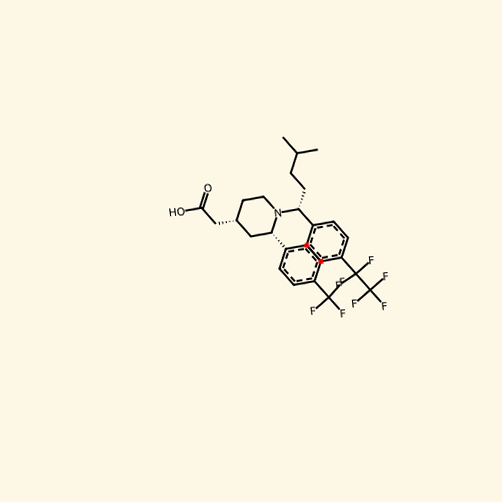 CC(C)CC[C@H](c1ccc(C(F)(F)C(F)(F)F)cc1)N1CC[C@@H](CC(=O)O)C[C@H]1c1ccc(C(F)(F)F)cc1